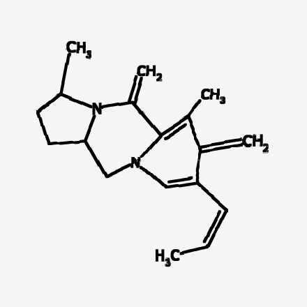 C=C1C(/C=C\C)=CN2CC3CCC(C)N3C(=C)C2=C1C